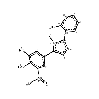 Cn1c(-c2cc(O)c(O)c([N+](=O)[O-])c2)nnc1-c1cccnc1F